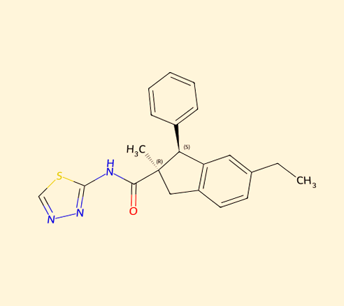 CCc1ccc2c(c1)[C@H](c1ccccc1)[C@](C)(C(=O)Nc1nncs1)C2